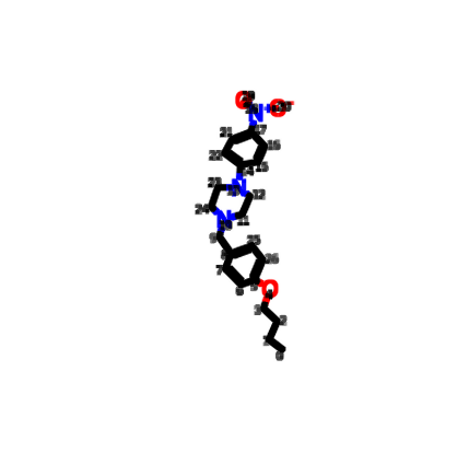 CCCCOc1ccc(CN2CCN(c3ccc([N+](=O)[O-])cc3)CC2)cc1